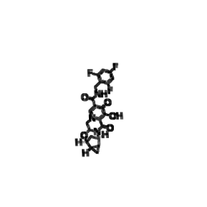 O=C(NCc1c(F)cc(F)cc1F)c1cn2c(c(O)c1=O)C(=O)N1C(C2)O[C@H]2C[C@@H]1C1C[C@@H]12